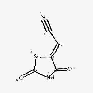 N#CC=C1SC(=O)NC1=O